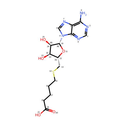 Nc1ncnc2c1ncn2[C@@H]1O[C@H](CSCCCCC(=O)O)[C@@H](O)[C@H]1O